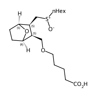 CCCCCC[S+]([O-])C[C@H]1[C@@H](COCCCCC(=O)O)[C@H]2CC[C@@H]1O2